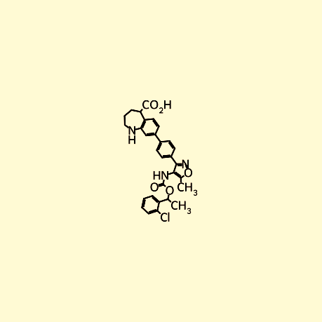 Cc1onc(-c2ccc(-c3ccc4c(c3)NCCCC4C(=O)O)cc2)c1NC(=O)OC(C)c1ccccc1Cl